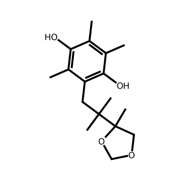 Cc1c(C)c(O)c(CC(C)(C)C2(C)COCO2)c(C)c1O